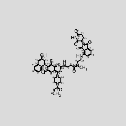 C=CC(=O)N1CCN(c2nc(NCCC(=O)N(C)CCNc3cccc4c3C(=O)N(C3CCC(=O)NC3=O)C4=O)nc3c(F)c(-c4cc(O)cc5ccccc45)c(Cl)cc23)CC1